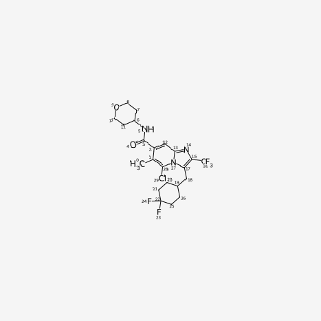 Cc1c(C(=O)NC2CCOCC2)cc2nc(C(F)(F)F)c(CC3CCC(F)(F)CC3)n2c1Cl